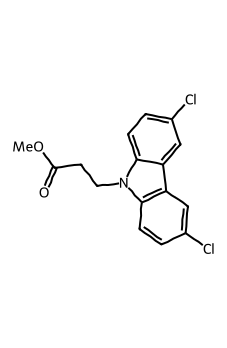 COC(=O)CCn1c2ccc(Cl)cc2c2cc(Cl)ccc21